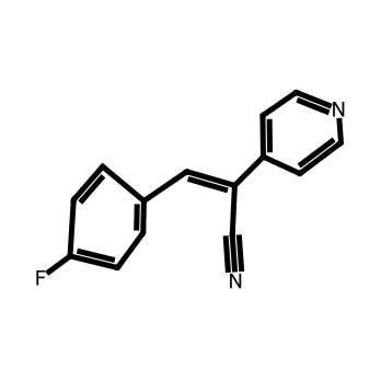 N#CC(=Cc1ccc(F)cc1)c1ccncc1